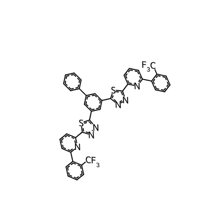 FC(F)(F)c1ccccc1-c1cccc(-c2nnc(-c3cc(-c4ccccc4)cc(-c4nnc(-c5cccc(-c6ccccc6C(F)(F)F)n5)s4)c3)s2)n1